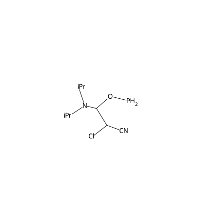 CC(C)N(C(C)C)C(OP)C(Cl)C#N